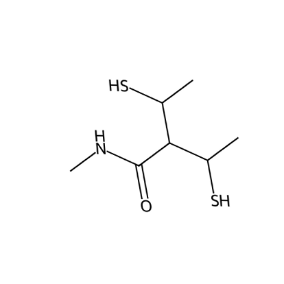 CNC(=O)C(C(C)S)C(C)S